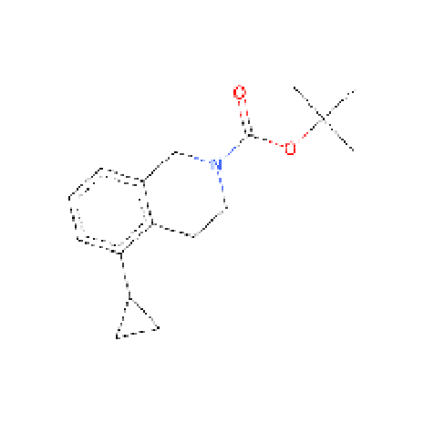 CC(C)(C)OC(=O)N1CCc2c(cccc2C2CC2)C1